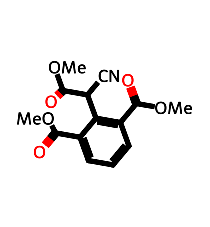 COC(=O)c1cccc(C(=O)OC)c1C(C#N)C(=O)OC